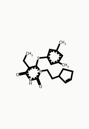 CCc1c(Sc2cc(C)cc(C)c2)n(CCC2C=CCC2)c(=O)[nH]c1=O